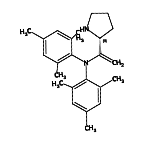 C=C([C@H]1CCCN1)N(c1c(C)cc(C)cc1C)c1c(C)cc(C)cc1C